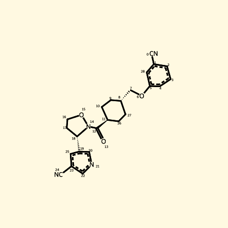 N#Cc1cccc(OC[C@H]2CC[C@H](C(=O)N3OCC[C@H]3c3cncc(C#N)c3)CC2)c1